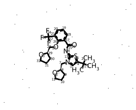 CC(C)(C)c1cn(C[C@H]2CCCO2)/c(=N/C(=O)c2cccc(C(F)(F)F)c2OC[C@H]2CCCO2)s1